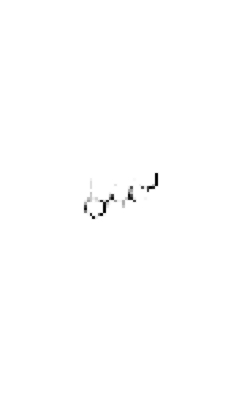 C/C=C(I)\N=C/C(C)NC(=O)C1CCCCN1